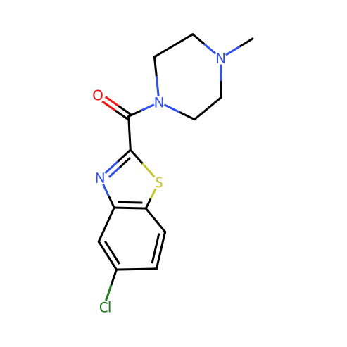 CN1CCN(C(=O)c2nc3cc(Cl)ccc3s2)CC1